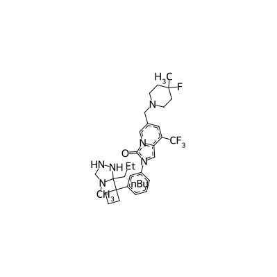 CCCC[C@@H](CC)C1(C2(c3cccc(-n4cc5c(C(F)(F)F)cc(CN6CCC(C)(F)CC6)cn5c4=O)c3)CCC2)NNCN1C